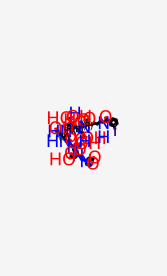 O=C(O)CC[C@@H](NC[C@@H](CCC(O)O)NC(=O)[C@@H](CCCO)NC(=O)CN(CCN(CCN1CCOC(=O)C1)CC(=O)O)CC(=O)O)C(=O)N[C@H](CCCCNC(=O)c1cccc(I)c1)C(=O)O